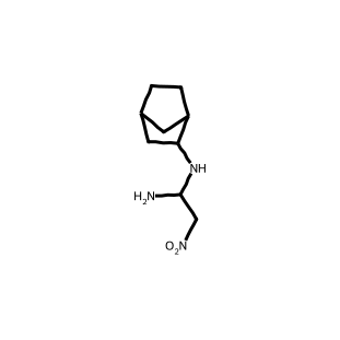 NC(C[N+](=O)[O-])NC1CC2CCC1C2